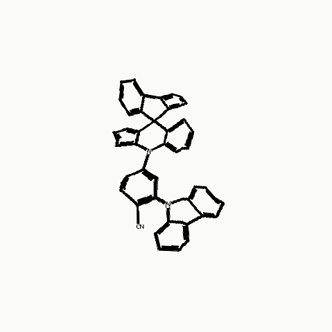 N#Cc1ccc(N2c3ccccc3C3(c4ccccc4-c4ccccc43)c3ccccc32)cc1-n1c2ccccc2c2ccccc21